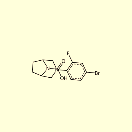 O=C(O)N1C2CCC1CN(c1ccc(Br)cc1F)C2